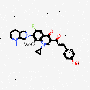 COc1c(N2CC3CCCNC3C2)c(F)cc2c(=O)c(C(=O)C=Cc3ccc(O)cc3)cn(C3CC3)c12